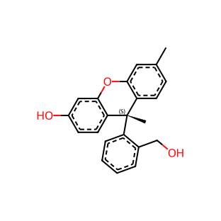 Cc1ccc2c(c1)Oc1cc(O)ccc1[C@@]2(C)c1ccccc1CO